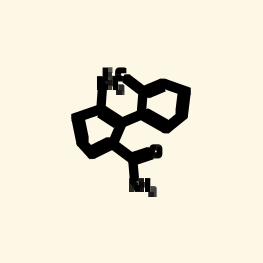 NC(=O)c1cccc(N)c1-c1ccccc1C(F)(F)F